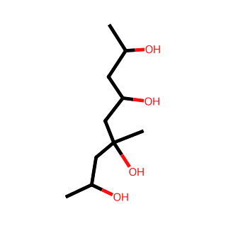 CC(O)CC(O)CC(C)(O)CC(C)O